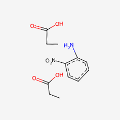 CCC(=O)O.CCC(=O)O.Nc1ccccc1[N+](=O)[O-]